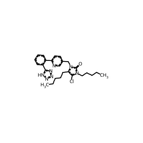 CCCCCc1c(Cl)n(CCCCC)c(=O)n1Cc1ccc(-c2ccccc2-c2nnn[nH]2)nc1